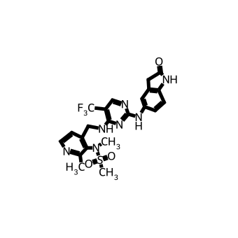 Cc1nccc(CNc2nc(Nc3ccc4c(c3)CC(=O)N4)ncc2C(F)(F)F)c1N(C)S(C)(=O)=O